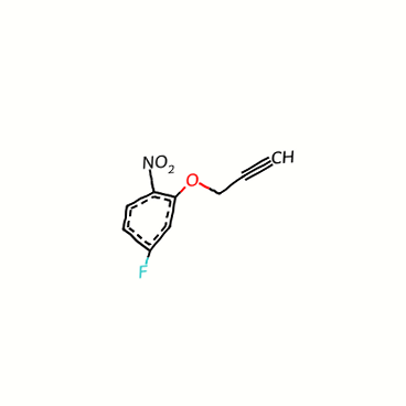 C#CCOc1cc(F)ccc1[N+](=O)[O-]